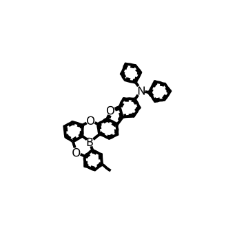 Cc1ccc2c(c1)B1c3ccc4c(oc5cc(N(c6ccccc6)c6ccccc6)ccc54)c3Oc3cccc(c31)O2